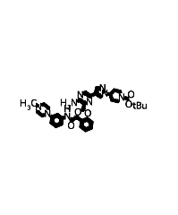 CN1CCN(c2cccc(NC(=O)[C@H](OC(=O)c3nc(-c4cnn(C5CCN(C(=O)OC(C)(C)C)CC5)c4)cnc3N)c3ccccc3)c2)CC1